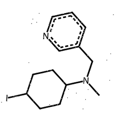 CN(Cc1cccnc1)C1CCC(I)CC1